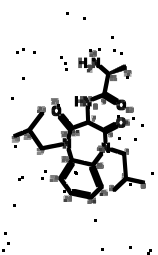 CC(C)CN1C(=O)C(NC(=O)[C@H](C)N)C(=O)N(CC(C)C)c2ccccc21